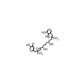 CC(C)(CCC(O)CCCC(O)CCC(C)(C)Cc1cocc(O)c1=O)Cc1cc(=O)c(O)co1